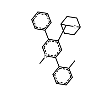 Cc1ccccc1-c1cc(C2CC3CCC2CC3)c(-c2ccccc2)c[n+]1C